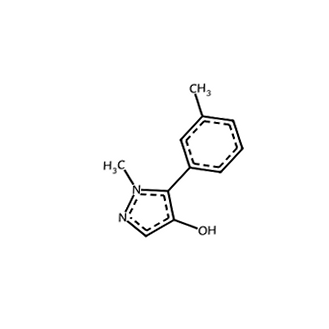 Cc1cccc(-c2c(O)cnn2C)c1